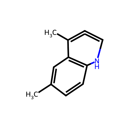 CC1=C=CNc2ccc(C)cc21